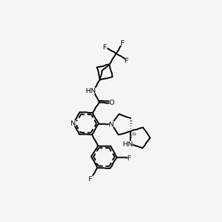 O=C(NC12CC(C(F)(F)F)(C1)C2)c1cncc(-c2cc(F)cc(F)c2)c1N1CC[C@@]2(CCCN2)C1